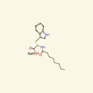 CCCCCCCC(=O)N[C@@H](Cc1c[nH]c2ccccc12)C(=O)O.[NaH]